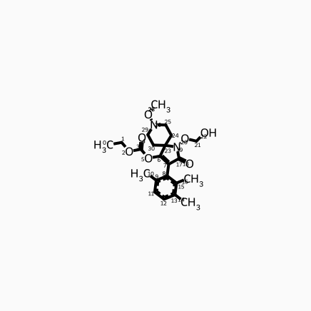 CCOC(=O)OC1=C(c2c(C)ccc(C)c2C)C(=O)N(OCO)C12CCN(OC)CC2